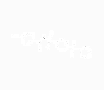 O=C(NS(=O)(=O)c1ccc(S(=O)(=O)c2ccccc2)cc1)c1ccc(C(F)(F)F)cc1